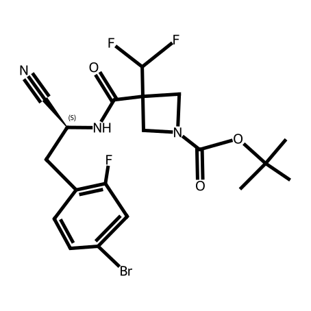 CC(C)(C)OC(=O)N1CC(C(=O)N[C@H](C#N)Cc2ccc(Br)cc2F)(C(F)F)C1